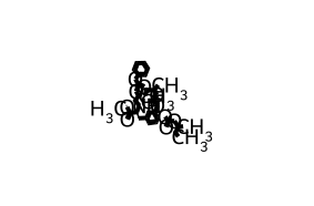 CCC(C)OC(=O)Oc1ccc(C[C@H](NCCOC(=O)Oc2ccccc2)C(=O)OC)cc1OC(=O)OC(C)CC